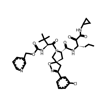 CCC[C@H](NC(=O)[C@@H]1C[C@]2(CC(c3cccc(Cl)c3)=NO2)CN1C(=O)[C@@H](NC(=O)OCc1cccnc1)C(C)(C)C)C(=O)C(=O)NC1CC1